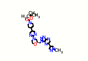 Cn1cc(-c2cnc3nnn(C[C@@H]4CN(c5ncc(C6=CCN(C(=O)OC(C)(C)C)CC6)cn5)CCO4)c3n2)cn1